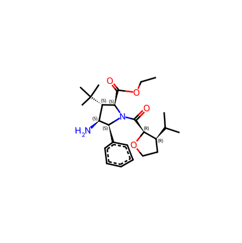 CCOC(=O)[C@@H]1[C@@H](C(C)(C)C)[C@H](N)[C@H](c2ccccc2)N1C(=O)[C@@H]1OCC[C@@H]1C(C)C